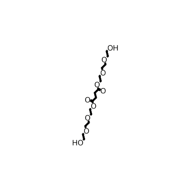 O=C(CCC(=O)OCCOCCOCCO)OCCOCCOCCO